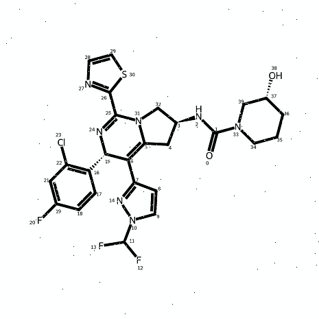 O=C(N[C@H]1CC2=C(c3ccn(C(F)F)n3)[C@H](c3ccc(F)cc3Cl)N=C(c3nccs3)N2C1)N1CCC[C@@H](O)C1